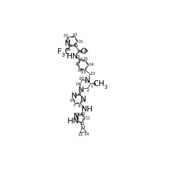 C[C@H]1CN(c2nccc(Nc3cc(C4CC4)[nH]n3)n2)CCN1Cc1ccc(NC(=O)c2cccnc2C(F)(F)F)cc1